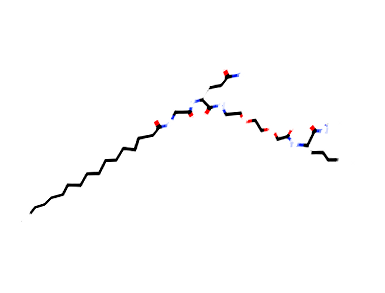 CCCCCCCCCCCCCCCC(=O)NCC(=O)N[C@@H](CCC(N)=O)C(=O)NCCOCCOCC(O)N[C@@H](CCCC)C(=O)NC